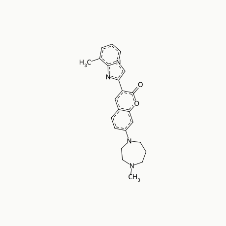 Cc1cccn2cc(-c3cc4ccc(N5CCCN(C)CC5)cc4oc3=O)nc12